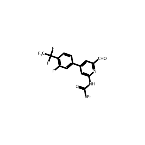 CCCC(=O)Nc1cc(-c2ccc(C(F)(F)C(F)(F)F)c(F)c2)cc(C=O)n1